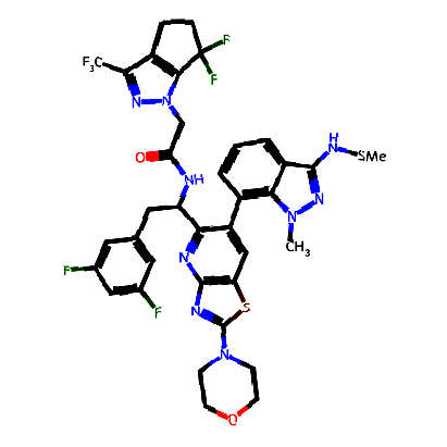 CSNc1nn(C)c2c(-c3cc4sc(N5CCOCC5)nc4nc3C(Cc3cc(F)cc(F)c3)NC(=O)Cn3nc(C(F)(F)F)c4c3C(F)(F)CC4)cccc12